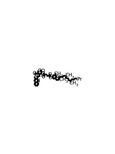 Cc1cc(OC(=O)CCC(=O)O[C@]2(I)C(=O)OCc3c2cc2n(c3=O)Cc3cc4ccccc4nc3-2)cc2c1O[C@](C)(CCC[C@H](C)CCC[C@H](C)CCCC(C)C)CC2